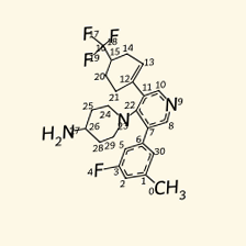 Cc1cc(F)cc(-c2cncc(C3=CCC(C(F)(F)F)CC3)c2N2CCC(N)CC2)c1